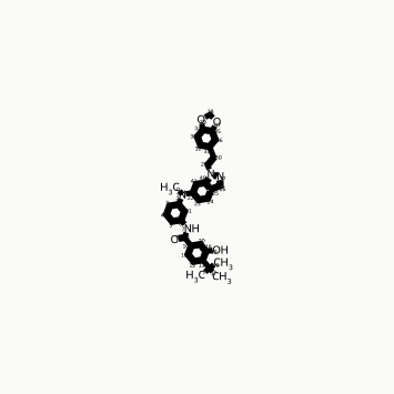 CN(c1cccc(NC(=O)c2ccc(C(C)(C)C)c(O)c2)c1)c1ccc2cnn(C=Cc3ccc4c(c3)OCO4)c2c1